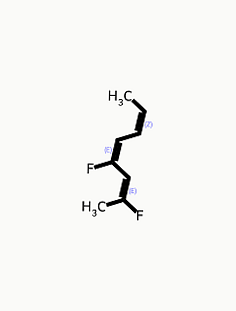 C\C=C/C=C(F)\C=C(/C)F